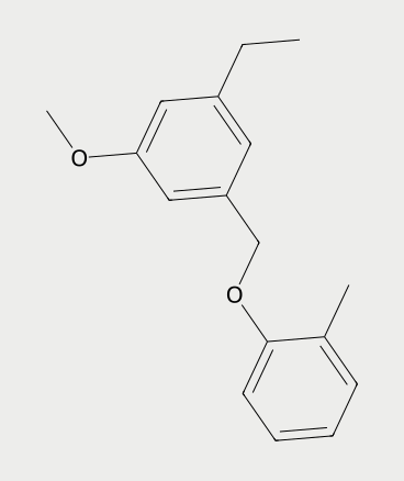 CCc1cc(COc2ccccc2C)cc(OC)c1